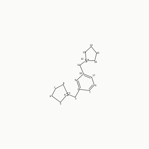 c1cc(C[S+]2CCCC2)cc(C[S+]2CCCC2)c1